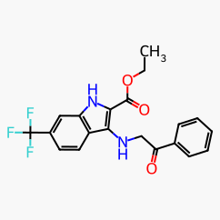 CCOC(=O)c1[nH]c2cc(C(F)(F)F)ccc2c1NCC(=O)c1ccccc1